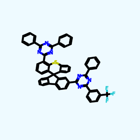 FC(F)(F)c1cccc(-c2nc(-c3ccccc3)nc(-c3ccc4c(c3)C3(c5ccccc5Sc5c(-c6nc(-c7ccccc7)nc(-c7ccccc7)n6)cccc53)c3ccccc3-4)n2)c1